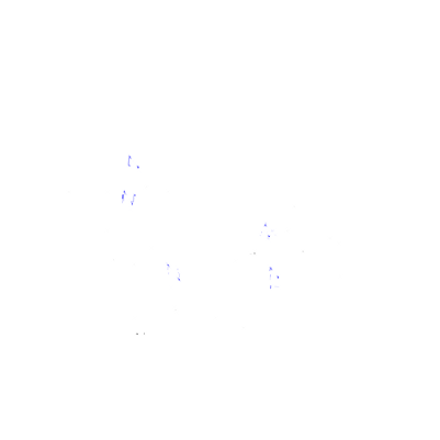 C1=Cc2c(n(C3CC=C(C4N=C(c5ccccc5)c5ccccc5N4)c4ccccc43)c3cc4c(cc23)c2ccccc2n4-c2ccccn2)CC1